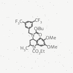 CCOC(=O)N1c2cc(OC)c(OC)cc2C(N(Cc2cc(C(F)(F)F)cc(C(F)(F)F)c2)C(=O)OCC(C)C)CC1C